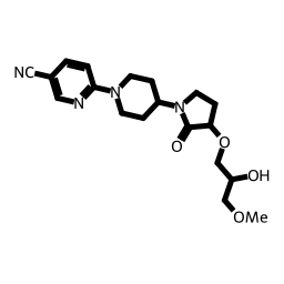 COCC(O)COC1CCN(C2CCN(c3ccc(C#N)cn3)CC2)C1=O